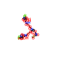 CC(=O)SCC1CC(=O)N(CCOc2ccc3c(c2)c(C(=O)OCCOCC(=O)NCC2OC4OCCN(C(=O)C(F)(F)F)[C@@H]4[C@@H](O)[C@H]2O)cn3CC(=O)OCCOCC(=O)NC[C@H]2OC3OCCN(C(=O)C(F)(F)F)[C@@H]3[C@@H](O)[C@H]2O)C1=O